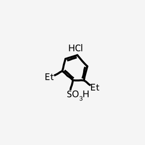 CCc1cccc(CC)c1S(=O)(=O)O.Cl